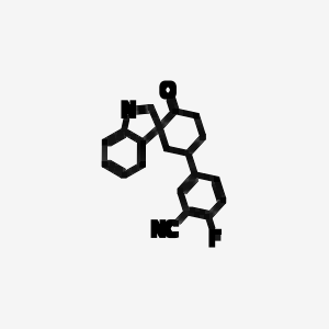 N#Cc1cc(C2CCC(=O)C3(C=Nc4ccccc43)C2)ccc1F